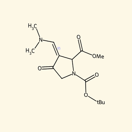 COC(=O)C1/C(=C/N(C)C)C(=O)CN1C(=O)OC(C)(C)C